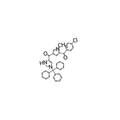 Cn1cc(C(=O)C2=CN(C(c3ccccc3)(c3ccccc3)c3ccccc3)CN2)cc1C(=O)c1ccc(Cl)cc1